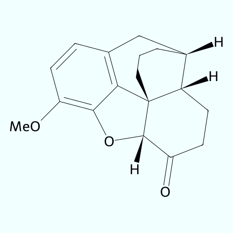 COc1ccc2c3c1O[C@H]1C(=O)CC[C@H]4[C@H](CCC[C@]314)C2